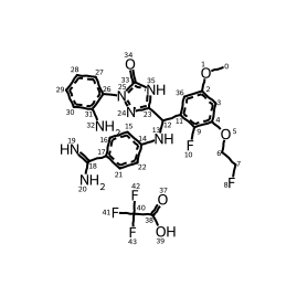 COc1cc(OCCF)c(F)c(C(Nc2ccc(C(=N)N)cc2)c2nn(-c3ccccc3N)c(=O)[nH]2)c1.O=C(O)C(F)(F)F